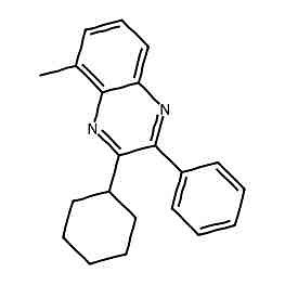 Cc1cccc2nc(-c3ccccc3)c(C3CCCCC3)nc12